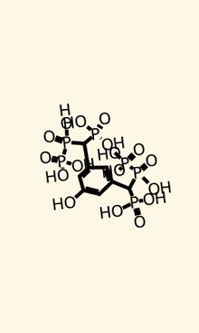 O=P(O)(O)C(c1cc(O)cc(C(P(=O)(O)O)P(=O)(O)P(=O)(O)O)c1)P(=O)(O)P(=O)(O)O